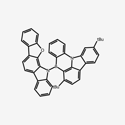 CC(C)(C)c1ccc2c3ccc(C(C)(C)C)c4c3n(c2c1)-c1ccccc1B4n1c2ccccc2c2ccc3c4ccccc4oc3c21